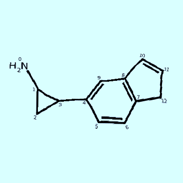 NC1CC1c1ccc2c(c1)C=CC2